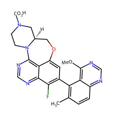 COc1ncnc2ccc(C)c(-c3cc4c5c(ncnc5c3F)N3CCN(C(=O)O)C[C@H]3CO4)c12